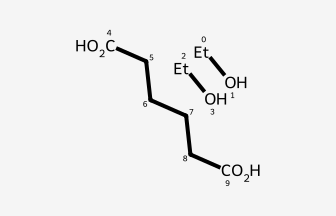 CCO.CCO.O=C(O)CCCCC(=O)O